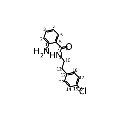 Nc1ccccc1C(=O)NCCc1ccc(Cl)cc1